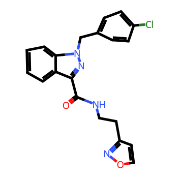 O=C(NCCc1ccon1)c1nn(Cc2ccc(Cl)cc2)c2ccccc12